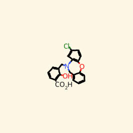 O=C(O)c1cccc(CN2Cc3ccccc3Oc3ccc(Cl)cc32)c1O